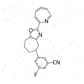 N#Cc1cc(F)cc(C2CCCc3oc(C4=CC=C=CC=N4)nc3C2)c1